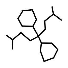 CC(C)CCC(CCC(C)C)(C1CC[CH]CC1)C1CC[CH]CC1